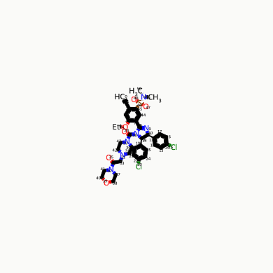 C#Cc1cc(OCC)c(C2=N[C@@H](c3ccc(Cl)cc3)[C@@H](c3ccc(Cl)cc3)N2C(=O)N2CCN(CC(=O)N3CCOCC3)CC2)cc1S(=O)(=O)N(C)C